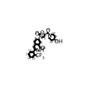 O=C([C@H]1CN(c2ccc3cc(-c4ccccc4C(F)(F)F)[nH]c(=O)c3c2)C(=O)O1)N1CCC(O)CC1